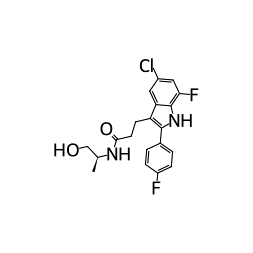 C[C@@H](CO)NC(=O)CCc1c(-c2ccc(F)cc2)[nH]c2c(F)cc(Cl)cc12